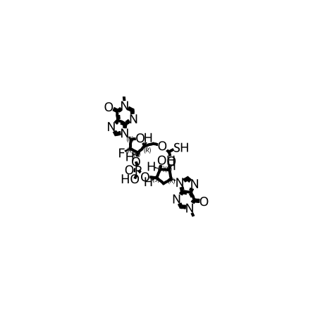 Cn1cnc2c(ncn2[C@@H]2C[C@@H]3OP(=O)(O)O[C@H]4[C@@H](F)[C@H](n5cnc6c(=O)n(C)cnc65)O[C@@H]4COC(S)O[C@@H]2[C@@H]3O)c1=O